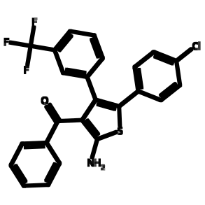 Nc1sc(-c2ccc(Cl)cc2)c(-c2cccc(C(F)(F)F)c2)c1C(=O)c1ccccc1